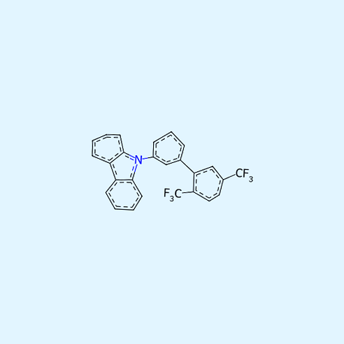 FC(F)(F)c1ccc(C(F)(F)F)c(-c2cccc(-n3c4ccccc4c4ccccc43)c2)c1